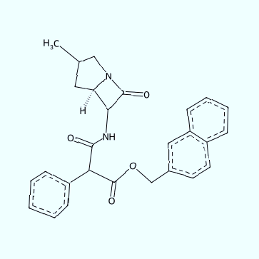 CC1C[C@@H]2C(NC(=O)C(C(=O)OCc3ccc4ccccc4c3)c3ccccc3)C(=O)N2C1